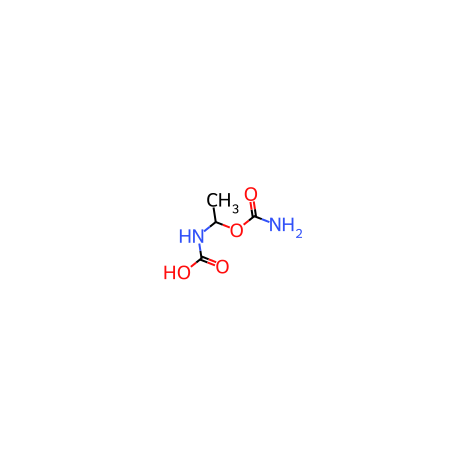 CC(NC(=O)O)OC(N)=O